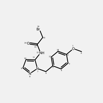 COc1ccc(Cn2nccc2NC(=O)CBr)cc1